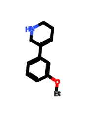 CCOc1cccc(C2=CCCNC2)c1